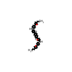 CCCc1ccc(-c2ccc(Nc3ccc4c(c3)oc3cc5cc6c(cc5cc34)oc3cc(Nc4ccc(-c5ccc(CCC)cc5)cc4)ccc36)cc2)cc1